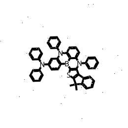 CC1(C)c2ccccc2-c2c1sc1c2N(c2ccccc2)c2cccc3c2B1c1ccc(N(c2ccccc2)c2ccccc2)cc1N3c1ccccc1